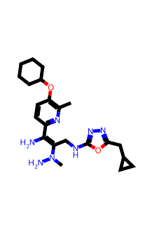 Cc1nc(/C(N)=C(\CNc2nnc(CC3CC3)o2)N(C)N)ccc1OC1CCCCC1